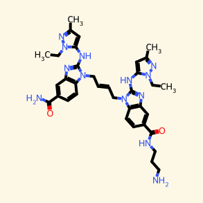 CCn1nc(C)cc1Nc1nc2cc(C(N)=O)ccc2n1C/C=C/Cn1c(Nc2cc(C)nn2CC)nc2cc(C(=O)NCCCN)ccc21